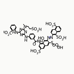 CN(CCS(=O)(=O)O)c1nc(Nc2cccc(C(=O)Nc3cc(S(=O)(=O)O)cc4cc(SOOO)c(/N=N/c5ccc6c(S(=O)(=O)O)cccc6c5S(=O)(=O)O)c(O)c34)c2)nc(Nc2ccccc2C(=O)O)n1